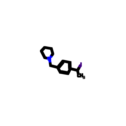 CC(I)c1ccc(CN2CCCCC2)cc1